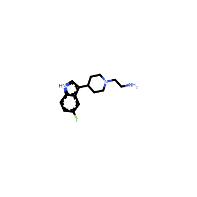 NCCN1CCC(c2c[nH]c3ccc(F)cc23)CC1